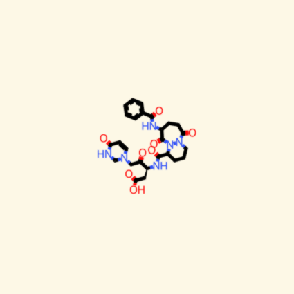 O=C(O)C[C@H](NC(=O)C1CCCN2C(=O)CCC(NC(=O)c3ccccc3)C(=O)N12)C(=O)CN1C=CC(=O)NC1